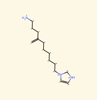 C=C(CCCN)CCCCCCN1C=CNC1